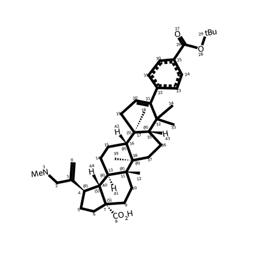 C=C(CNC)[C@@H]1CC[C@]2(C(=O)O)CC[C@]3(C)[C@H](CC[C@@H]4[C@@]5(C)CC=C(c6ccc(C(=O)OC(C)(C)C)cc6)C(C)(C)[C@@H]5CC[C@]43C)[C@@H]12